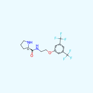 O=C(NCCOc1cc(C(F)(F)F)cc(C(F)(F)F)c1)[C@H]1CCCN1